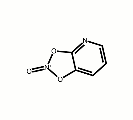 O=[n+]1oc2cccnc2o1